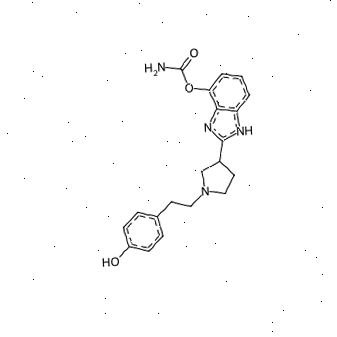 NC(=O)Oc1cccc2[nH]c(C3CCN(CCc4ccc(O)cc4)C3)nc12